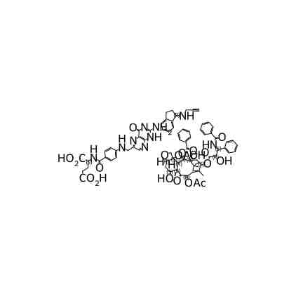 C#CCN[C@@H]1CCc2ccccc21.CC(=O)O[C@H]1C(=O)[C@@]2(C)[C@H]([C@H](OC(=O)c3ccccc3)[C@]3(O)C[C@H](OC(=O)[C@H](O)[C@@H](NC(=O)c4ccccc4)c4ccccc4)C(C)=C1C3(C)C)[C@]1(OC(C)=O)CO[C@@H]1C[C@@H]2O.Nc1nc(=O)c2nc(CNc3ccc(C(=O)N[C@@H](CCC(=O)O)C(=O)O)cc3)cnc2[nH]1